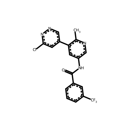 Cc1ncc(NC(=O)c2cccc(C(F)(F)F)c2)cc1-c1cnnc(Cl)c1